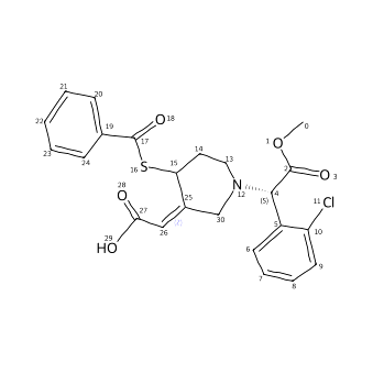 COC(=O)[C@H](c1ccccc1Cl)N1CCC(SC(=O)c2ccccc2)/C(=C\C(=O)O)C1